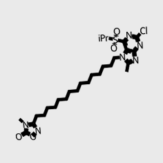 Cc1nc2nc(Cl)nc(S(=O)(=O)C(C)C)c2n1CCCCCCCCCCCCCCCc1noc(=O)n1C